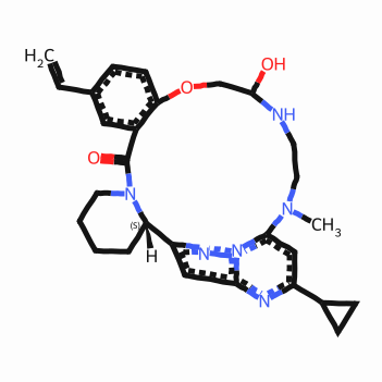 C=Cc1ccc2c(c1)C(=O)N1CCCC[C@H]1c1cc3nc(C4CC4)cc(n3n1)N(C)CCNC(O)CO2